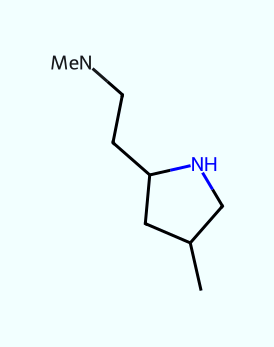 CNCCC1CC(C)CN1